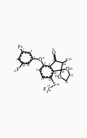 O=C1c2c(Oc3cc(F)cc(F)c3)ccc(SC(F)(F)F)c2C2(OCCO2)C1F